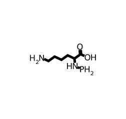 NCCCCC(NP)C(=O)O